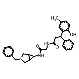 Cc1ccc(O)c(C(CC(=O)NCC(=O)NC2C3CN(Cc4ccccc4)CC32)c2ccccc2)c1